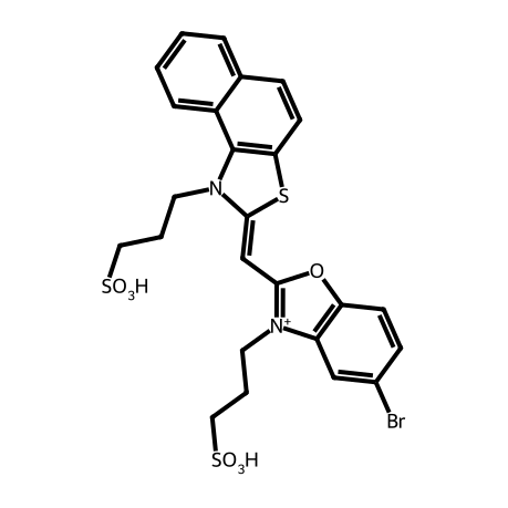 O=S(=O)(O)CCCN1C(=Cc2oc3ccc(Br)cc3[n+]2CCCS(=O)(=O)O)Sc2ccc3ccccc3c21